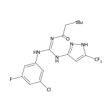 CC(C)(C)CC(=O)/N=C(/Nc1cc(F)cc(Cl)c1)Nc1cc(C(F)(F)F)[nH]n1